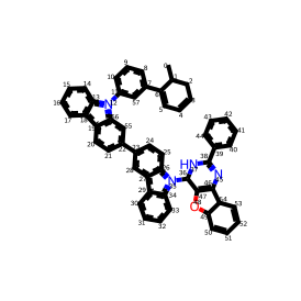 CC1CC=CC=C1c1cccc(-n2c3ccccc3c3ccc(-c4ccc5c(c4)c4ccccc4n5C4NC(c5ccccc5)=NC5=C4OC4C=CC=CC54)cc32)c1